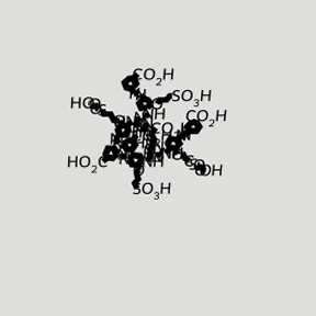 O=C(O)c1cccc(N=Nc2ccc(Nc3nc(NCC(Nc4nc(Nc5ccc(N=Nc6cccc(C(=O)O)c6)cc5OCCCSOOO)nc(Nc5ccc(N=Nc6cccc(C(=O)O)c6)cc5OCCCS(=O)(=O)O)n4)C(=O)O)nc(Nc4ccc(N=Nc5cccc(C(=O)O)c5)cc4OCCCS(=O)(=O)O)n3)c(OCCCSOOO)c2)c1